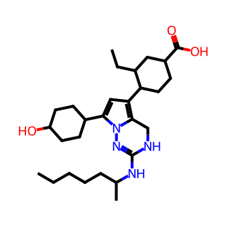 CCCCCC(C)NC1=Nn2c(C3CCC(O)CC3)cc(C3CCC(C(=O)O)CC3CC)c2CN1